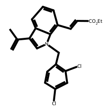 C=C(C)c1cn(Cc2ccc(Cl)cc2Cl)c2c(C=CC(=O)OCC)cccc12